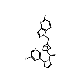 Cc1ccc2c(cnn2CC2CC3(C(=O)N4N=CCC4c4cncc(F)c4)CC2C3)n1